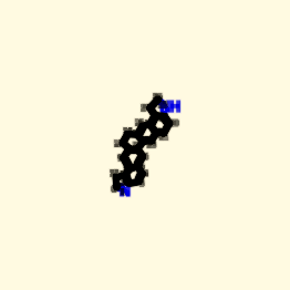 C1=Nc2ccc3cc4c(cc3c2C1)CCc1cc2c3c(ccc2cc1-4)NCC3